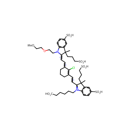 COCCOCCN1/C(=C/C=C2\CCCC(/C=C/C3=[N+](CCCCCC(=O)O)c4ccc(S(=O)(=O)O)cc4C3(C)CCCS(=O)(=O)O)=C2Cl)C(C)(CCCS(=O)(=O)O)c2cc(S(=O)(=O)O)ccc21